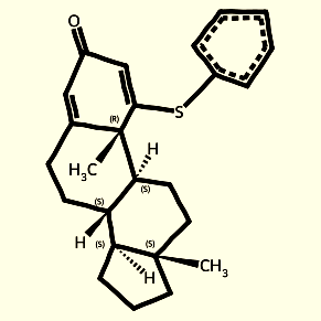 C[C@@]12CCC[C@H]1[C@@H]1CCC3=CC(=O)C=C(Sc4ccccc4)[C@]3(C)[C@H]1CC2